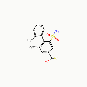 Cc1ccccc1-c1c([N+](=O)[O-])cc(C(O)=S)cc1S(N)(=O)=O